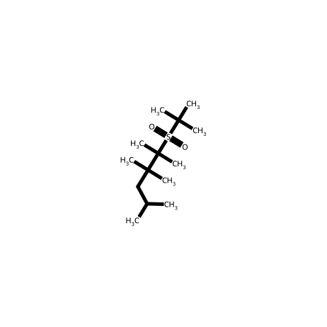 CC(C)CC(C)(C)C(C)(C)S(=O)(=O)C(C)(C)C